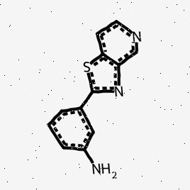 Nc1cccc(-c2nc3cnccc3s2)c1